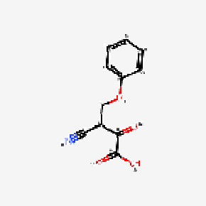 N#CC(COc1ccccc1)C(=O)C(=O)O